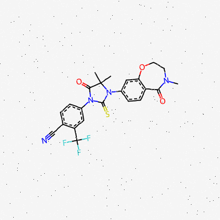 CN1CCOc2cc(N3C(=S)N(c4ccc(C#N)c(C(F)(F)F)c4)C(=O)C3(C)C)ccc2C1=O